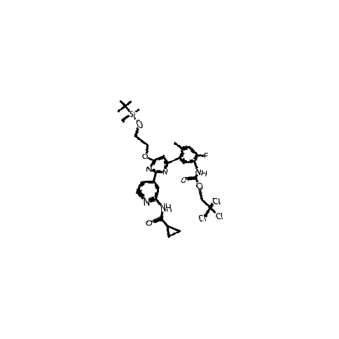 Cc1cc(F)c(NC(=O)OCC(Cl)(Cl)Cl)cc1-c1cc(OCCO[Si](C)(C)C(C)(C)C)nc(-c2ccnc(NC(=O)C3CC3)c2)n1